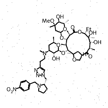 CC[C@H]1OC(=O)[C@H](C)[C@@H](O[C@H]2C[C@@](C)(OC)[C@@H](O)[C@H](C)O2)[C@H](C)[C@@H](O[C@@H]2O[C@H](C)C[C@H](N(C)CCc3cn(C[C@@H]4CCCN4Cc4ccc([N+](=O)[O-])cc4)nn3)[C@H]2O)[C@@]2(C)C[C@@H](CO2)C(=O)[C@H](C)[C@@H](O)[C@]1(C)O